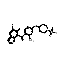 CS(=O)(=O)N1CCC(Nc2ncc(C(=S)c3c(F)c(F)cc4ccoc34)c(N)n2)CC1